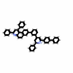 C1=C(c2cccc(-c3ccc4c(ccc5nc(-c6ccccc6)cc(-c6ccccc6)c54)c3)c2)C=C(c2ccc(-c3ccccc3)cc2)NC1c1ccccc1